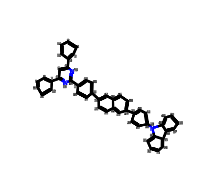 c1ccc(-c2cc(-c3ccccc3)nc(-c3ccc(-c4ccc5cc(-c6ccc(-n7c8ccccc8c8ccccc87)cc6)ccc5c4)cc3)n2)cc1